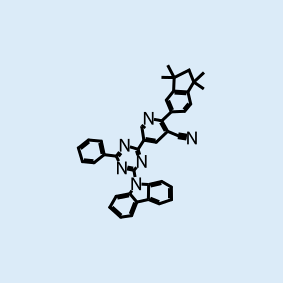 CC1(C)CC(C)(C)c2cc(-c3ncc(-c4nc(-c5ccccc5)nc(-n5c6ccccc6c6ccccc65)n4)cc3C#N)ccc21